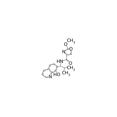 COc1nc(C(=O)NC(c2ccc3cccnc3c2O)C(C)C)co1